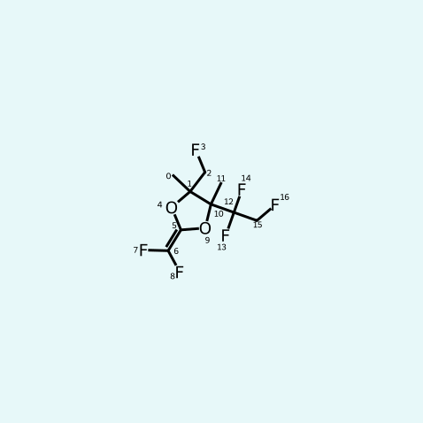 CC1(CF)OC(=C(F)F)OC1(C)C(F)(F)CF